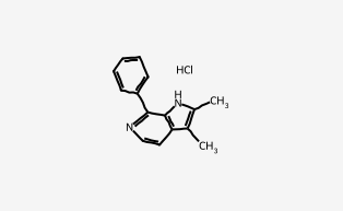 Cc1[nH]c2c(-c3ccccc3)nccc2c1C.Cl